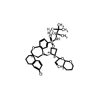 C=CC(OC1CCCCO1)[C@@H]1CC[C@H]1CN1C[C@@]2(CCCc3cc(Cl)ccc32)COc2ccc(S(=O)(=O)N[Si](C)(C)C(C)(C)C)cc21